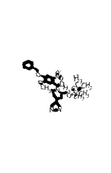 COc1cc(C(=O)N2CC=C(c3cncnc3)CC2CO[Si](C)(C)C(C)(C)C)c([N+](=O)[O-])cc1OCc1ccccc1